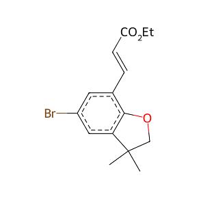 CCOC(=O)/C=C/c1cc(Br)cc2c1OCC2(C)C